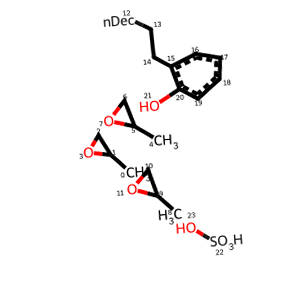 CC1CO1.CC1CO1.CC1CO1.CCCCCCCCCCCCc1ccccc1O.O=S(=O)(O)O